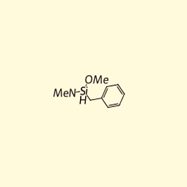 CN[SiH](Cc1ccccc1)OC